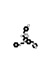 O=C(NCc1ccc(Cl)cc1)c1cn(CCSc2ccccc2)c2ccc(CN3CCOCC3)cc2c1=O